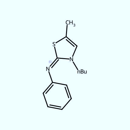 CCCCn1cc(C)s/c1=N/c1ccccc1